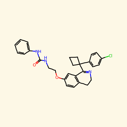 O=C(NCCOc1ccc2c(c1)C(C1(c3ccc(Cl)cc3)CCC1)=NCC2)Nc1ccccc1